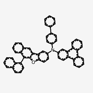 c1ccc(-c2ccc(N(c3ccc4oc5c(-c6cccc7ccccc67)c6ccccc6cc5c4c3)c3ccc4c5ccccc5c5ccccc5c4c3)cc2)cc1